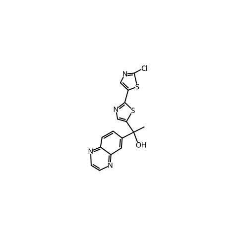 CC(O)(c1ccc2nccnc2c1)c1cnc(-c2cnc(Cl)s2)s1